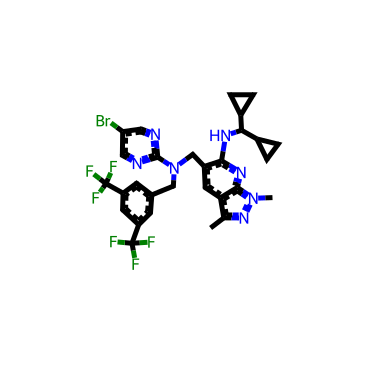 Cc1nn(C)c2nc(NC(C3CC3)C3CC3)c(CN(Cc3cc(C(F)(F)F)cc(C(F)(F)F)c3)c3ncc(Br)cn3)cc12